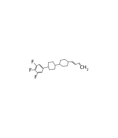 C=CC=CC1CCC(C2CCC(c3cc(F)c(F)c(F)c3)CC2)CC1